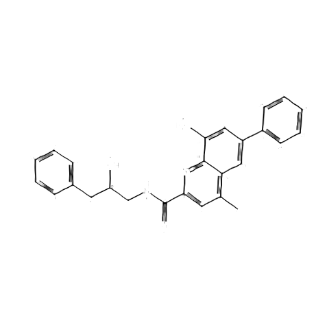 Cc1cc(C(=O)NCC(O)Cc2ccccc2)nc2c(C(F)(F)F)cc(-c3ccccc3)cc12